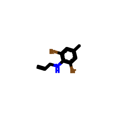 C=CCNc1c(Br)cc(C)cc1Br